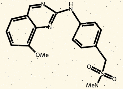 CNS(=O)(=O)Cc1ccc(Nc2ncc3cccc(OC)c3n2)cc1